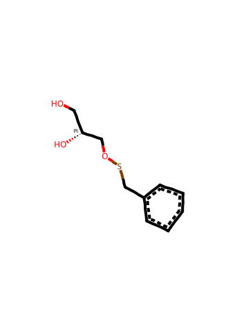 OC[C@@H](O)COSCc1ccccc1